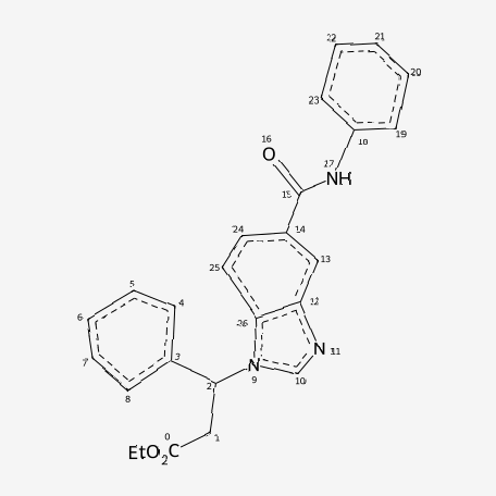 CCOC(=O)CC(c1ccccc1)n1cnc2cc(C(=O)Nc3ccccc3)ccc21